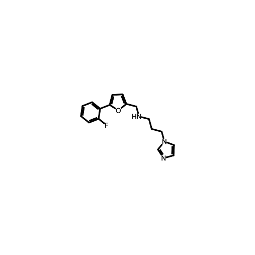 Fc1ccccc1-c1ccc(CNCCCn2ccnc2)o1